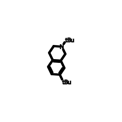 CC(C)(C)c1ccc2c(c1)CN(C(C)(C)C)CC2